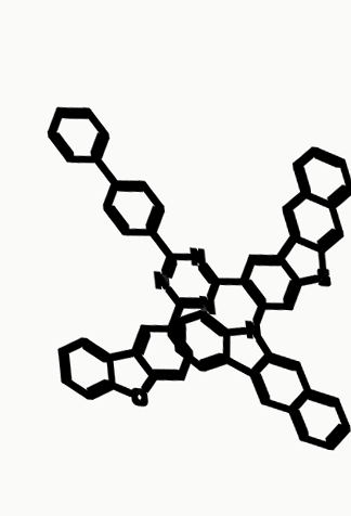 c1ccc(-c2ccc(-c3nc(-c4ccc5oc6ccccc6c5c4)nc(-c4cc5c(cc4-n4c6ccccc6c6cc7ccccc7cc64)sc4cc6ccccc6cc45)n3)cc2)cc1